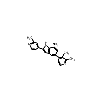 Cc1cc(-c2cc3cc(-c4ccnc(C)c4C)ccc3[nH]2)ccn1.N